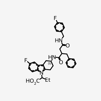 CCC(C(=O)O)n1c2c(c3cc(F)ccc31)C[C@@H](NC(=O)C(CC(=O)NCc1ccc(F)cc1)Cc1ccccc1)CC2